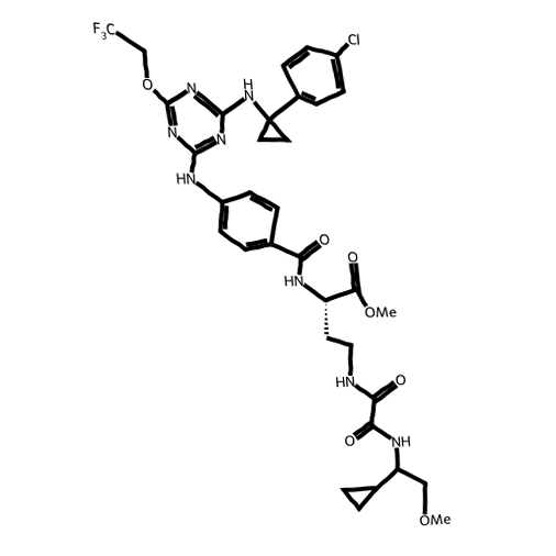 COCC(NC(=O)C(=O)NCC[C@H](NC(=O)c1ccc(Nc2nc(NC3(c4ccc(Cl)cc4)CC3)nc(OCC(F)(F)F)n2)cc1)C(=O)OC)C1CC1